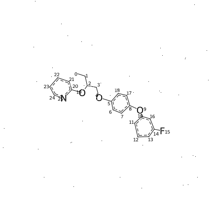 CCC(COc1ccc(Oc2cccc(F)c2)cc1)Oc1ccccn1